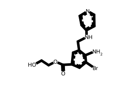 Nc1c(Br)cc(C(=O)OCCO)cc1CNc1ccncc1